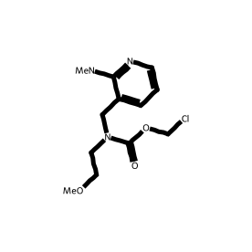 CNc1ncccc1CN(CCOC)C(=O)OCCl